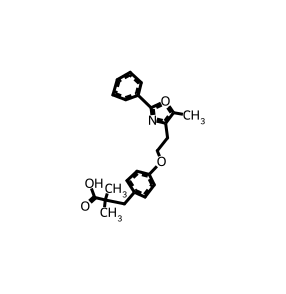 Cc1oc(-c2ccccc2)nc1CCOc1ccc(CC(C)(C)C(=O)O)cc1